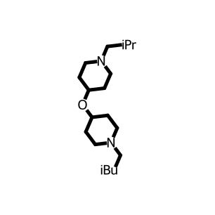 CCC(C)CN1CCC(OC2CCN(CC(C)C)CC2)CC1